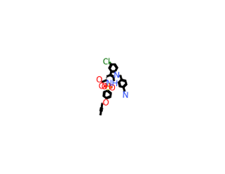 CC#CCOc1ccc(S(=O)(=O)N[C@@H](Cc2c(C)n(Cc3ccc(C#N)cc3)c3ccc(Cl)cc23)C(=O)O)cc1